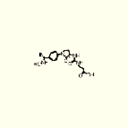 N=C(NO)c1ccc(N2CC[C@H](NC(=O)NCCC(=O)O)C2=O)cc1